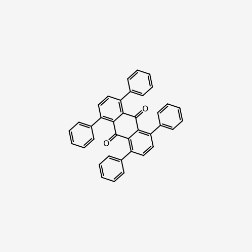 O=C1c2c(-c3ccccc3)ccc(-c3ccccc3)c2C(=O)c2c(-c3ccccc3)ccc(-c3ccccc3)c21